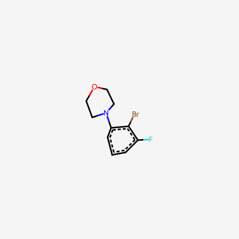 Fc1cccc(N2CCOCC2)c1Br